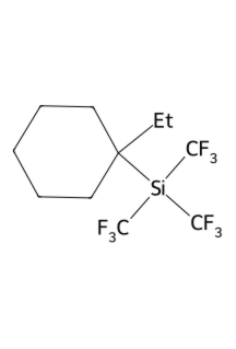 CCC1([Si](C(F)(F)F)(C(F)(F)F)C(F)(F)F)CCCCC1